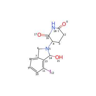 O=C1CCC(N2Cc3cccc(I)c3C2O)C(=O)N1